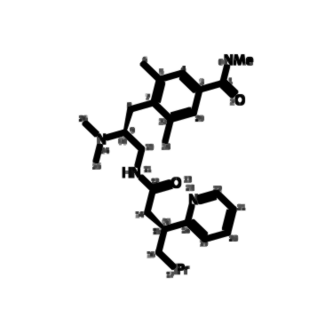 CNC(=O)c1cc(C)c(C[C@@H](CNC(=O)C[C@H](CC(C)C)c2ccccn2)N(C)C)c(C)c1